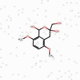 COc1ccc(OC)c2c1CC(O)(CO)OC2O